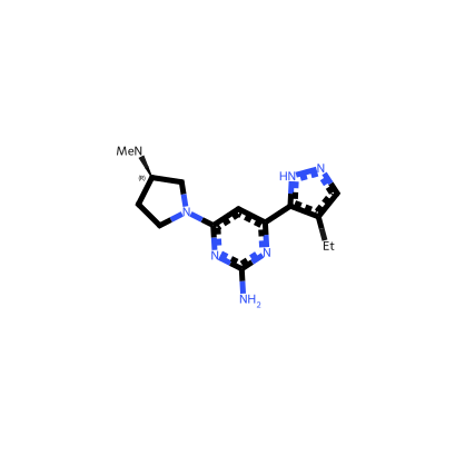 CCc1cn[nH]c1-c1cc(N2CC[C@@H](NC)C2)nc(N)n1